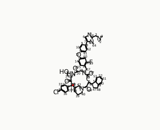 CN(C)Cc1ncc(-c2ccc(Oc3ccc(CN4CC(=O)N[C@@H](CO)C(=O)N[C@@]5(Cc6ccc(Cl)cc6)CCCN(C5)C(=O)[C@H]([C@@H]5CCc6ccccc65)CC4=O)c(F)c3)cc2)n1C